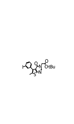 Cc1sc2ncn(CC(=O)OC(C)(C)C)c(=O)c2c1-c1cccc(I)c1